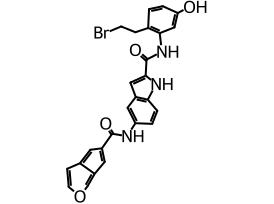 O=C(Nc1ccc2[nH]c(C(=O)Nc3cc(O)ccc3CCBr)cc2c1)c1cc2ccocc-2c1